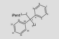 [Li][C](CC(C)CCC)(c1ccccc1)c1ccccc1